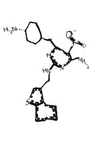 Nc1nc(NCc2csc3ccccc23)nc(C[C@H]2CC[C@H](N)CC2)c1[N+](=O)[O-]